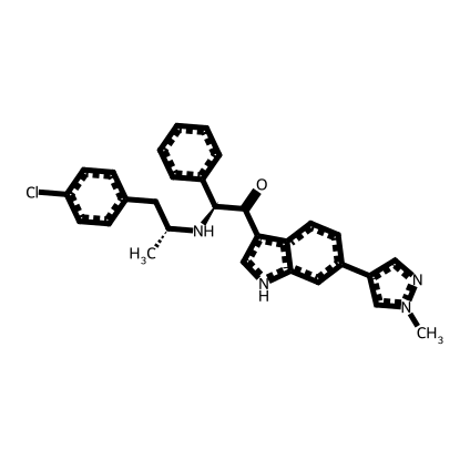 C[C@H](Cc1ccc(Cl)cc1)N[C@H](C(=O)c1c[nH]c2cc(-c3cnn(C)c3)ccc12)c1ccccc1